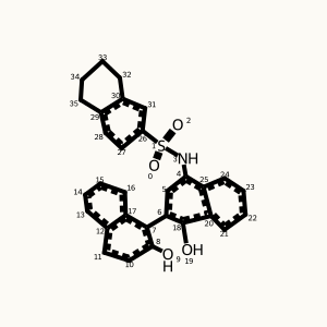 O=S(=O)(Nc1cc(-c2c(O)ccc3ccccc23)c(O)c2ccccc12)c1ccc2c(c1)CCCC2